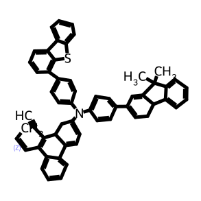 C#CC1=C(/C=C\C)c2ccccc2C2=CC=C(N(c3ccc(C4=CCC5C(=C4)C(C)(C)c4ccccc45)cc3)c3ccc(-c4cccc5c4sc4ccccc45)cc3)CC21